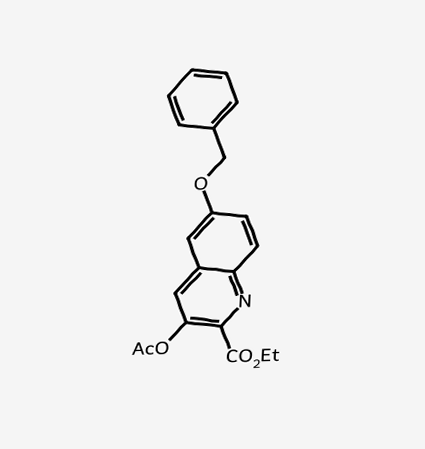 CCOC(=O)c1nc2ccc(OCc3ccccc3)cc2cc1OC(C)=O